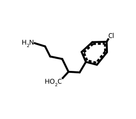 NCCCC(Cc1ccc(Cl)cc1)C(=O)O